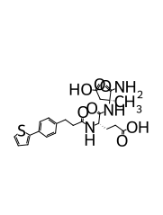 C[C@@](CC(=O)O)(NC(=O)[C@H](CCC(=O)O)NC(=O)CCc1ccc(-c2cccs2)cc1)C(N)=O